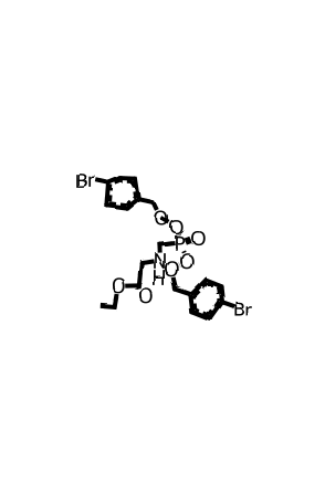 CCOC(=O)CNCP(=O)(OOCc1ccc(Br)cc1)OOCc1ccc(Br)cc1